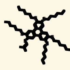 CCCCCCSc1cc2c(cc1SC=C(C)C)c1cc(SCCCCCC)c(SCCCCCC)cc1c1cc(SCCCCCC)c(SCCCCCC)cc21